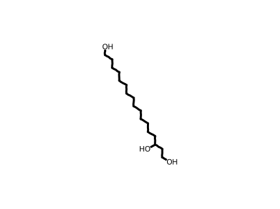 OCCCCCCCCCCCCCCC(O)CCO